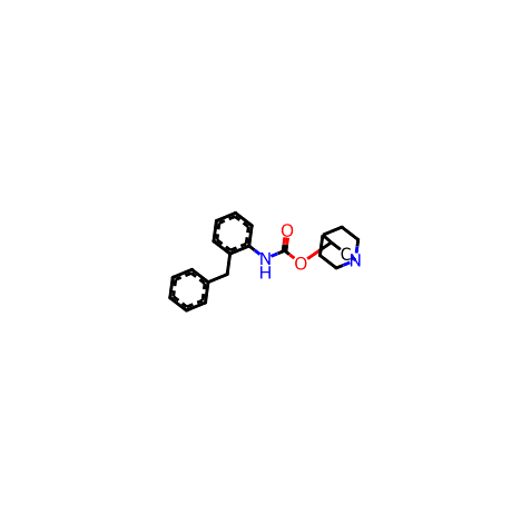 O=C(Nc1ccccc1Cc1ccccc1)OC1CN2CCC1CC2